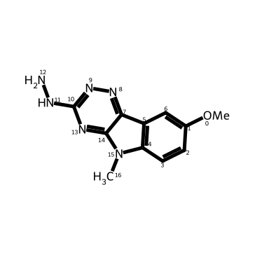 COc1ccc2c(c1)c1nnc(NN)nc1n2C